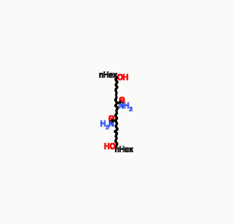 CCCCCCC(O)CCCCCCCCCC(CCCCCCC(CCCCCCCCCC(O)CCCCCC)C(N)=O)C(N)=O